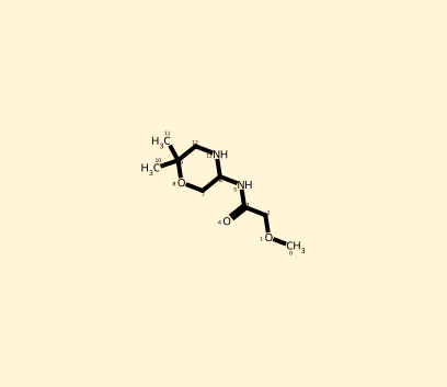 COCC(=O)NC1COC(C)(C)CN1